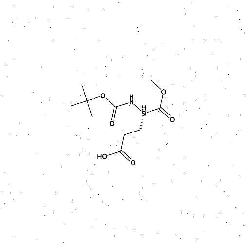 COC(=O)[Si@H](CCC(=O)O)NC(=O)OC(C)(C)C